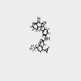 CC1(C)CCC(C2CC2)N(CC(=O)Nc2ccc3c(c2)CC2(C3)C(=O)Nc3ncccc32)C1=O